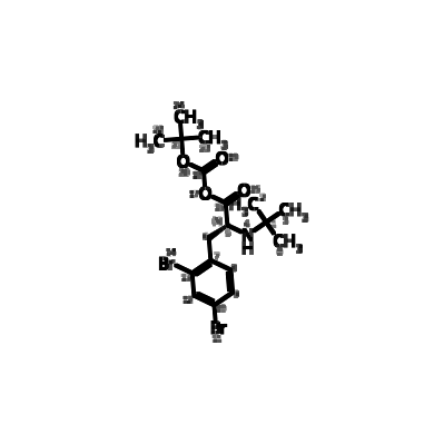 CC(C)(C)N[C@@H](Cc1ccc(Br)cc1Br)C(=O)OC(=O)OC(C)(C)C